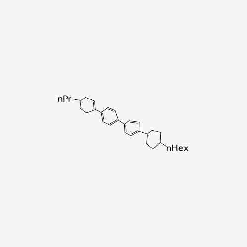 CCCCCCC1CC=C(c2ccc(-c3ccc(C4=CCC(CCC)CC4)cc3)cc2)CC1